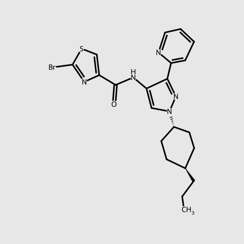 CCC[C@H]1CC[C@H](n2cc(NC(=O)c3csc(Br)n3)c(-c3ccccn3)n2)CC1